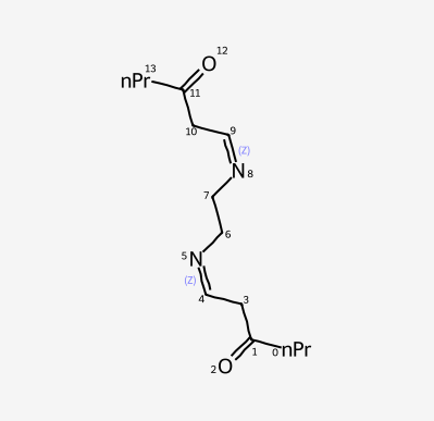 CCCC(=O)C/C=N\CC/N=C\CC(=O)CCC